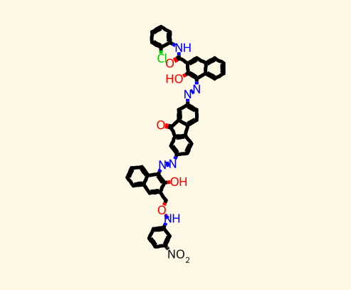 O=C1c2cc(N=Nc3c(O)c(CONc4cccc([N+](=O)[O-])c4)cc4ccccc34)ccc2-c2ccc(N=Nc3c(O)c(C(=O)Nc4ccccc4Cl)cc4ccccc34)cc21